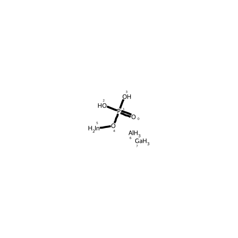 O=P(O)(O)[O][InH2].[AlH3].[GaH3]